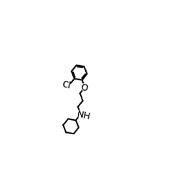 Clc1ccccc1OCCCNC1CCCCC1